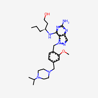 CCC[C@@H](CCO)Nc1nc(N)nc2cnn(Cc3ccc(CN4CCN(C(C)C)CC4)cc3OC)c12